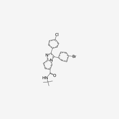 CC(C)(C)NC(=O)c1ccc2nc(-c3ccc(Cl)cc3)c(-c3ccc(Br)cc3)n2c1